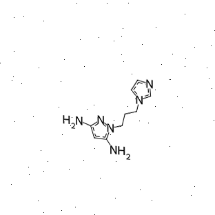 Nc1cc(N)n(CCCn2ccnc2)n1